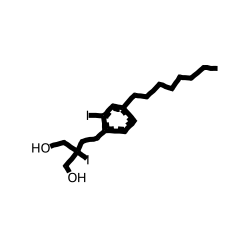 CCCCCCCCc1ccc(CCC(I)(CO)CO)c(I)c1